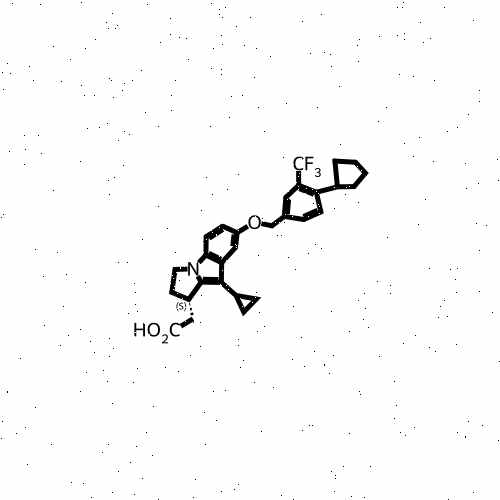 O=C(O)C[C@@H]1CCn2c1c(C1CC1)c1cc(OCc3ccc(C4CCCC4)c(C(F)(F)F)c3)ccc12